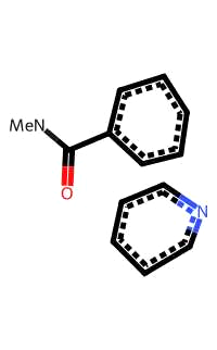 CNC(=O)c1ccccc1.c1ccncc1